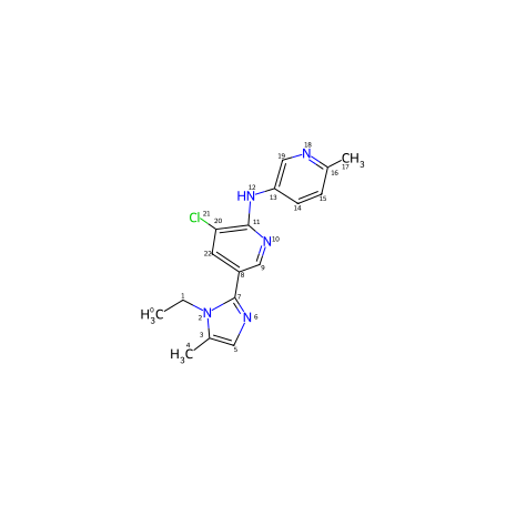 CCn1c(C)cnc1-c1cnc(Nc2ccc(C)nc2)c(Cl)c1